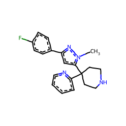 Cn1nc(-c2ccc(F)cc2)cc1C1(c2ccccn2)CCNCC1